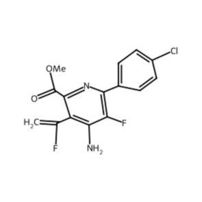 C=C(F)c1c(C(=O)OC)nc(-c2ccc(Cl)cc2)c(F)c1N